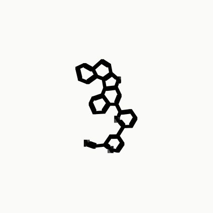 N#Cc1cc(-c2cccc(-c3cc4sc5ccc6ccccc6c5c4c4ccccc34)n2)ccn1